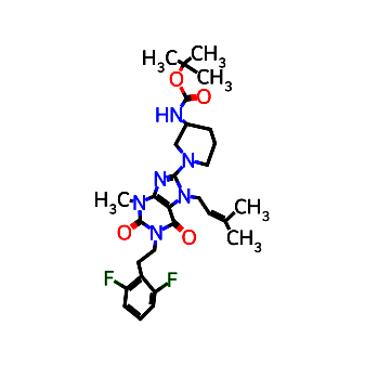 CC(C)=CCn1c(N2CCCC(NC(=O)OC(C)(C)C)C2)nc2c1c(=O)n(CCc1c(F)cccc1F)c(=O)n2C